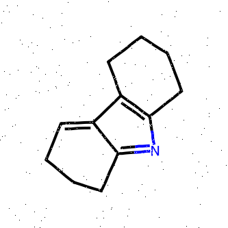 C1=C2C(=NC3=C2CCCC3)CCC1